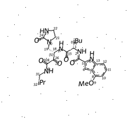 CC[C@@H](C)C(NC(=O)c1cc2c(OC)cccc2[nH]1)C(=O)N[C@@H](CN1CCNC1=O)C(=O)C(=O)NCC(C)C